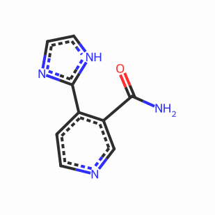 NC(=O)c1cnccc1-c1ncc[nH]1